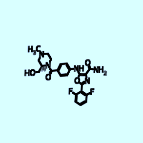 CN1CCN(C(=O)c2ccc(Nc3oc(-c4c(F)cccc4F)nc3C(N)=O)cc2)[C@@H](CO)C1